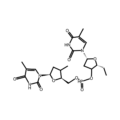 CC[C@H]1O[C@@H](n2cc(C)c(=O)[nH]c2=O)CC1O[PH](=O)OC[C@H]1O[C@@H](n2cc(C)c(=O)[nH]c2=O)CC1C